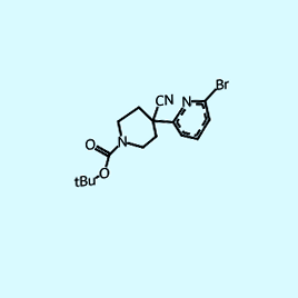 CC(C)(C)OC(=O)N1CCC(C#N)(c2cccc(Br)n2)CC1